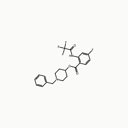 O=C(OC1CCN(Cc2ccccc2)CC1)c1ccc(F)cc1NC(=O)C(F)(F)F